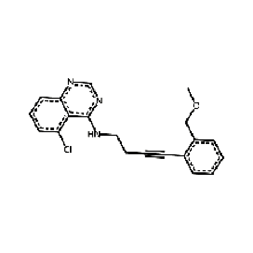 COCc1ccccc1C#CCCNc1ncnc2cccc(Cl)c12